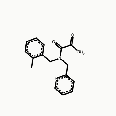 Cc1ccccc1CN(Cc1ccccn1)C(=O)C(N)=O